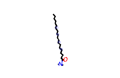 CCCCC/C=C/C/C=C/C/C=C/C/C=C/CCCC(=O)N(C)C